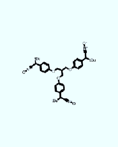 CC(C)(C)C(C#[N+][O-])c1ccc(OCC(COc2ccc(C(C#[N+][O-])C(C)(C)C)cc2)COc2ccc(C(C#[N+][O-])C(C)(C)C)cc2)cc1